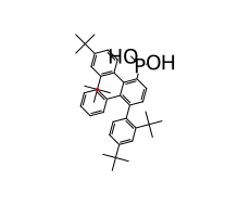 CC(C)(C)c1ccc(-c2ccc(P(O)O)c(-c3ccc(C(C)(C)C)cc3C(C)(C)C)c2-c2ccccc2)c(C(C)(C)C)c1